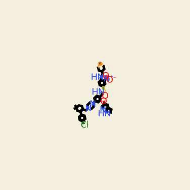 CP1CCC(CNc2ccc(SNC(=O)c3ccc(N4CCN(CC5=C(c6ccc(Cl)cc6)CC(C)(C)CC5)CC4)cc3Oc3cnc4[nH]ccc4c3)cc2[N+](=O)[O-])CC1